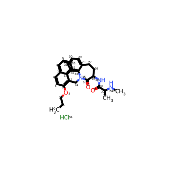 CCCOc1ccc2ccccc2c1CN1C(=O)C(NC(=O)C(C)NC)CCc2ccccc21.Cl